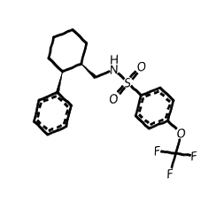 O=S(=O)(NC[C@@H]1CCCC[C@@H]1c1ccccc1)c1ccc(OC(F)(F)F)cc1